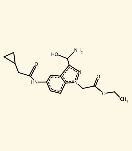 CCOC(=O)Cn1nc(C(N)O)c2cc(NC(=O)CC3CC3)ccc21